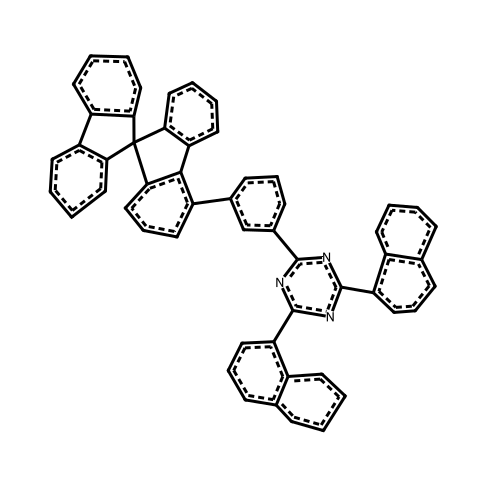 c1cc(-c2nc(-c3cccc4ccccc34)nc(-c3cccc4ccccc34)n2)cc(-c2cccc3c2-c2ccccc2C32c3ccccc3-c3ccccc32)c1